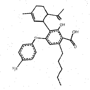 C=C(C)C1CCC(C)=CC1c1c(Oc2ccc(N)cc2)cc(CCCCC)c(C(=O)O)c1O